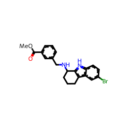 COC(=O)c1cccc(CNC2CCCc3c2[nH]c2ccc(Br)cc32)c1